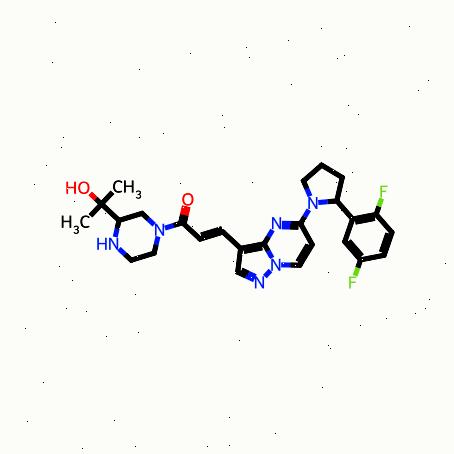 CC(C)(O)C1CN(C(=O)C=Cc2cnn3ccc(N4CCCC4c4cc(F)ccc4F)nc23)CCN1